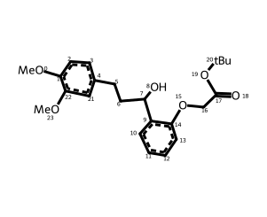 COc1ccc(CCC(O)c2ccccc2OCC(=O)OC(C)(C)C)cc1OC